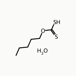 CCCCCOC(=S)S.O